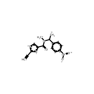 C#Cc1nc(C(=O)N(C)C(C)c2ccc([N+](=O)[O-])cc2)cs1